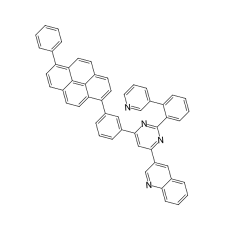 c1ccc(-c2ccc3ccc4c(-c5cccc(-c6cc(-c7cnc8ccccc8c7)nc(-c7ccccc7-c7cccnc7)n6)c5)ccc5ccc2c3c54)cc1